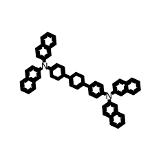 C1=C(C2=CC=C(N(c3ccc4ccccc4c3)c3ccc4ccccc4c3)CC2)CCC(c2ccc(N(c3ccc4ccccc4c3)c3ccc4ccccc4c3)cc2)=C1